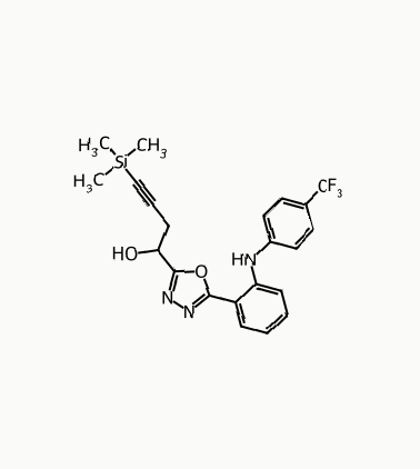 C[Si](C)(C)C#CCC(O)c1nnc(-c2ccccc2Nc2ccc(C(F)(F)F)cc2)o1